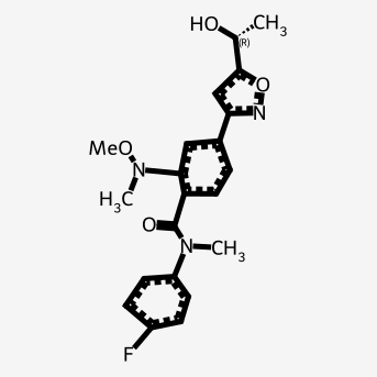 CON(C)c1cc(-c2cc([C@@H](C)O)on2)ccc1C(=O)N(C)c1ccc(F)cc1